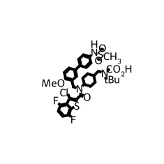 COc1ccc(-c2ccc(NS(C)(=O)=O)cc2)cc1CN(C(=O)c1sc2c(F)ccc(F)c2c1Cl)C1CCC(CN(C(=O)O)C(C)(C)C)CC1